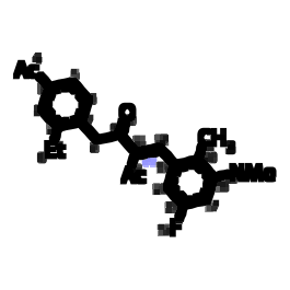 CCc1cc(C(C)=O)ccc1CC(=O)/C(=C/c1cc(F)cc(NC)c1C)C(C)=O